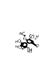 CC#N.CO.O=C1C=CC(=O)C(S(=O)(=O)O)=C1.Oc1ccc(O)cc1